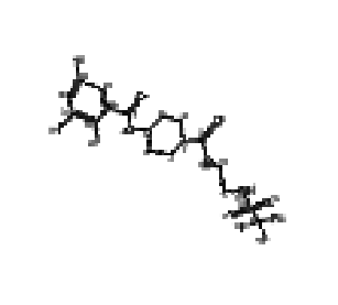 O=C(OC1CCC(C(=O)OCCNS(=O)(=O)C(F)(F)F)CC1)c1cc(I)cc(I)c1I